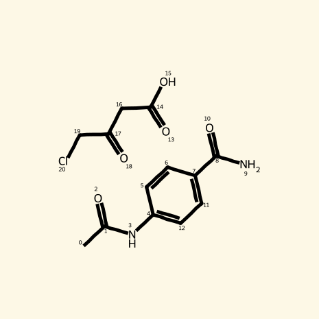 CC(=O)Nc1ccc(C(N)=O)cc1.O=C(O)CC(=O)CCl